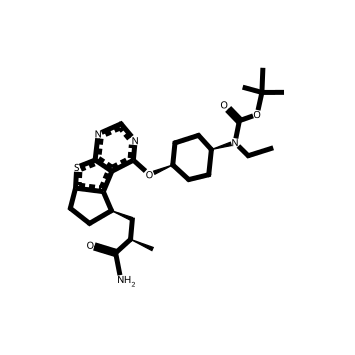 CCN(C(=O)OC(C)(C)C)[C@H]1CC[C@@H](Oc2ncnc3sc4c(c23)[C@@H](C[C@@H](C)C(N)=O)CC4)CC1